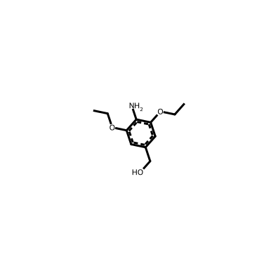 CCOc1cc(CO)cc(OCC)c1N